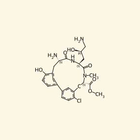 COC(=O)[C@@H]1Cc2cc(ccc2Cl)-c2ccc(O)c(c2)C[C@H](N)C(=O)N[C@@H](C[C@@H](O)CN)C(=O)N1C